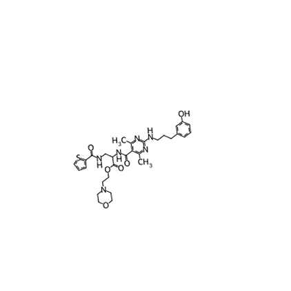 Cc1nc(NCCCc2cccc(O)c2)nc(C)c1C(=O)NC(CNC(=O)c1cccs1)C(=O)OCCN1CCOCC1